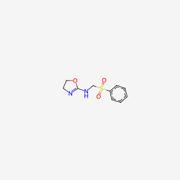 O=S(=O)(CNC1=NCCO1)c1ccccc1